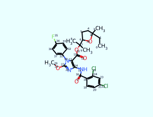 CCC1(C)CCC(C(C)(C)OC(=O)c2c(NC(=O)c3ccc(Cl)cc3Cl)nc(OC)n2-c2ccc(F)cc2)O1